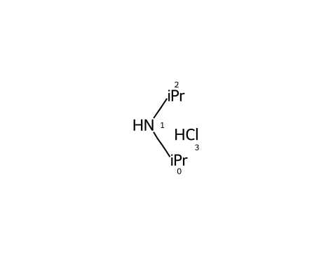 CC(C)NC(C)C.Cl